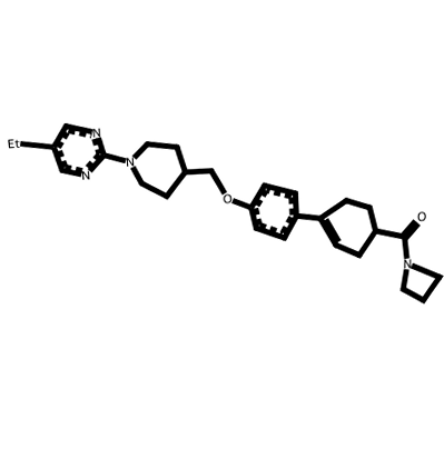 CCc1cnc(N2CCC(COc3ccc(C4=CCC(C(=O)N5CCC5)CC4)cc3)CC2)nc1